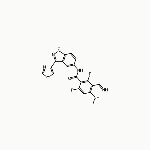 CNc1cc(F)c(C(=O)Nc2ccc3[nH]nc(-c4cocn4)c3c2)c(F)c1C=N